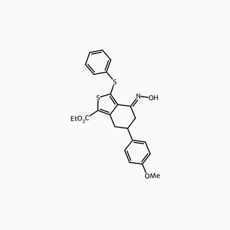 CCOC(=O)c1sc(Sc2ccccc2)c2c1CC(c1ccc(OC)cc1)CC2=NO